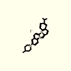 CC1CCN(c2ccc3c(ccc4n5c(ccc6cc(C(C)C)ccc65)c[n+]34)c2)CC1.[I-]